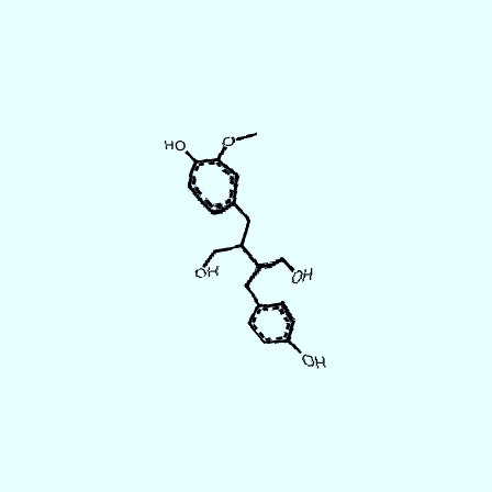 COc1cc(CC(CO)C(CO)Cc2ccc(O)cc2)ccc1O